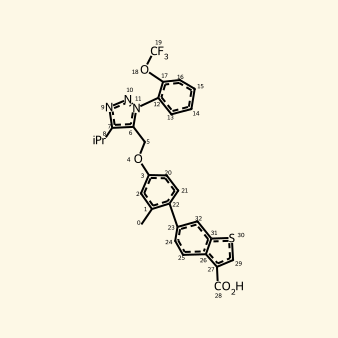 Cc1cc(OCc2c(C(C)C)nnn2-c2ccccc2OC(F)(F)F)ccc1-c1ccc2c(C(=O)O)csc2c1